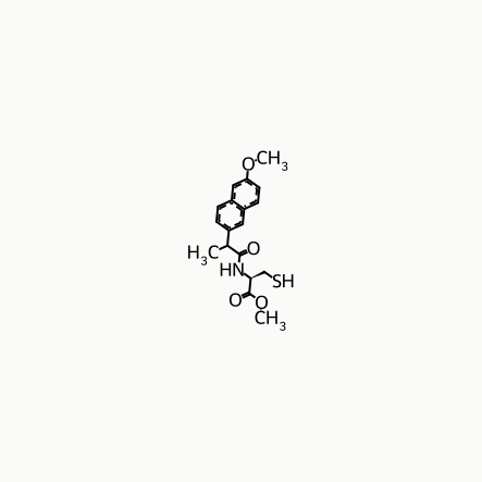 COC(=O)[C@H](CS)NC(=O)C(C)c1ccc2cc(OC)ccc2c1